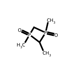 CC1P(C)(=O)CP1(C)=O